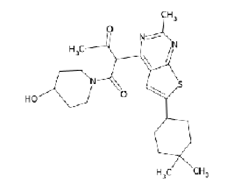 CC(=O)C(C(=O)N1CCC(O)CC1)c1nc(C)nc2sc(C3CCC(C)(C)CC3)cc12